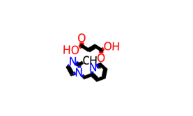 Cc1nccn1Cc1ccccn1.O=C(O)C=CC(=O)O